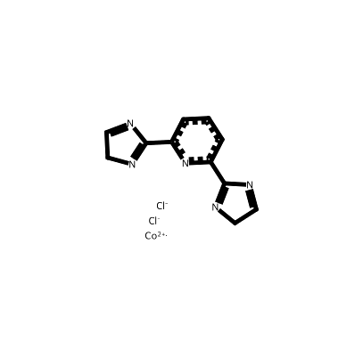 C1=NC(c2cccc(C3=NCC=N3)n2)=NC1.[Cl-].[Cl-].[Co+2]